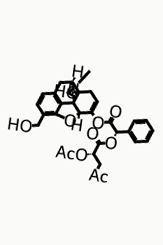 CC(=O)C[C@H](OC(C)=O)C(=O)O[C@H](C(=O)OC1=CC[C@@]2(O)[C@H]3Cc4ccc(CO)c5c4[C@@]2(CCN3C)[C@H]1O5)c1ccccc1